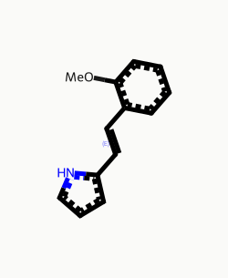 COc1ccccc1/C=C/c1ccc[nH]1